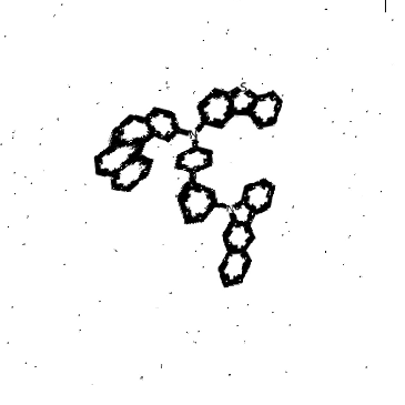 c1cc(-c2ccc(N(c3ccc4sc5ccccc5c4c3)c3ccc4ccc5ccc6ccccc6c5c4c3)cc2)cc(-n2c3ccccc3c3cc4ccccc4cc32)c1